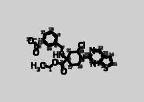 CCOC(=O)C1(NCc2cccc([N+](=O)[O-])c2)CCN(c2ncc3ccsc3n2)C(Cl)C1